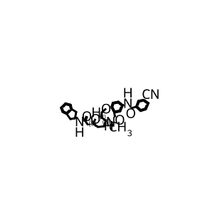 CN1C(=O)c2cc(NC(=O)c3cccc(C#N)c3)ccc2OC[C@@H]2O[C@H](CC(=O)NC3Cc4ccccc4C3)CC[C@@H]21